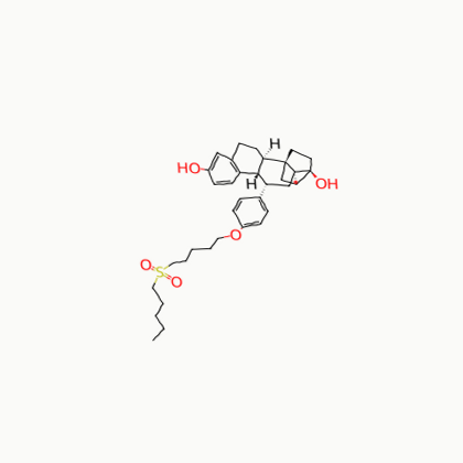 CCCCCS(=O)(=O)CCCCCOc1ccc([C@H]2C[C@]3(C)[C@]4(O)CC[C@@]3(CC4)[C@@H]3CCc4cc(O)ccc4[C@@H]23)cc1